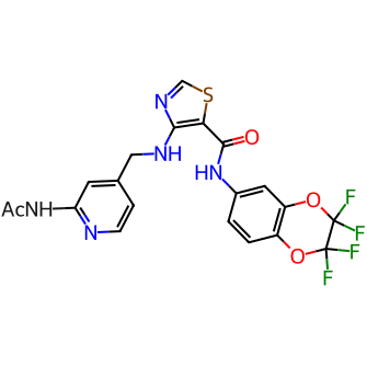 CC(=O)Nc1cc(CNc2ncsc2C(=O)Nc2ccc3c(c2)OC(F)(F)C(F)(F)O3)ccn1